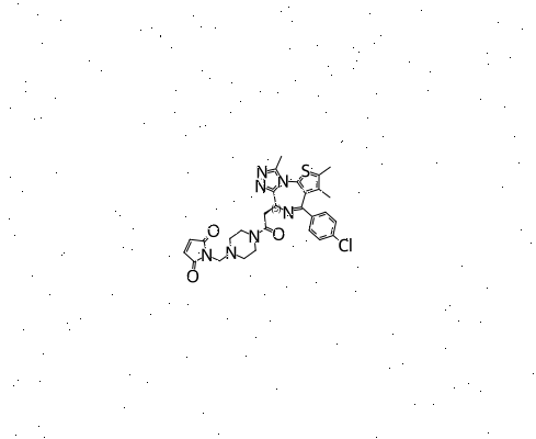 Cc1sc2c(c1C)C(c1ccc(Cl)cc1)=N[C@@H](CC(=O)N1CCN(CN3C(=O)C=CC3=O)CC1)c1nnc(C)n1-2